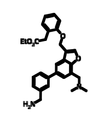 CCOC(=O)Cc1ccccc1OCc1coc2c(CN(C)C)cc(-c3cccc(CN)c3)cc12